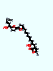 CCCCCCCCCCCC[C@@H](O)[C@H]1CC[C@@H]([C@@H]2CC[C@@H](CCCCCCC[C@@H](O)CC3=C[C@H](C)OC3=O)O2)O1